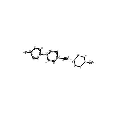 CCC[C@H]1CC[C@H](C#Cc2cnc(-c3ccc(F)cc3)nc2)CC1